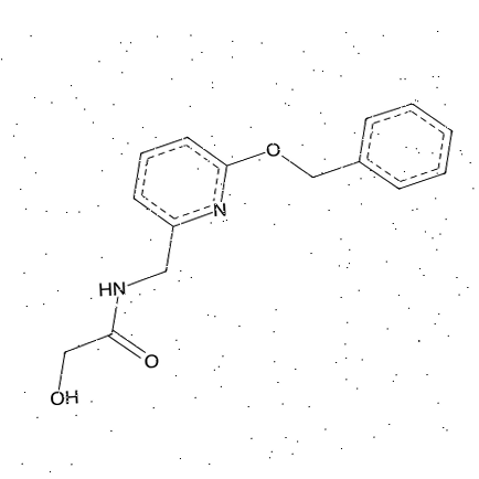 O=C(CO)NCc1cccc(OCc2ccccc2)n1